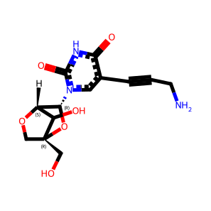 NCC#Cc1cn([C@@H]2O[C@]3(CO)CO[C@H]2C3O)c(=O)[nH]c1=O